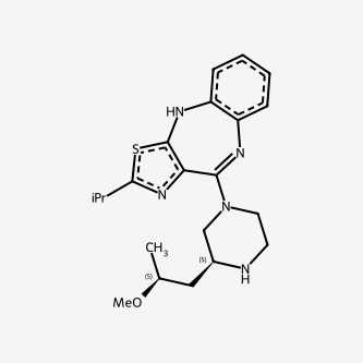 CO[C@@H](C)C[C@H]1CN(C2=Nc3ccccc3Nc3sc(C(C)C)nc32)CCN1